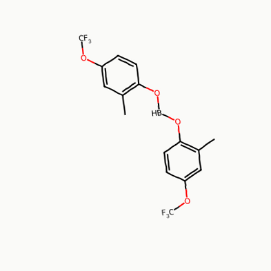 Cc1cc(OC(F)(F)F)ccc1OBOc1ccc(OC(F)(F)F)cc1C